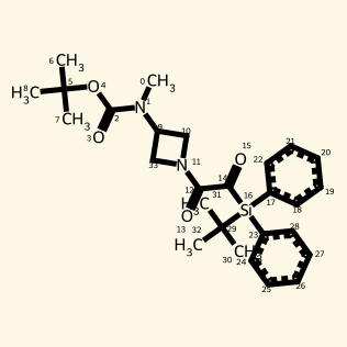 CN(C(=O)OC(C)(C)C)C1CN(C(=O)C(=O)[Si](c2ccccc2)(c2ccccc2)C(C)(C)C)C1